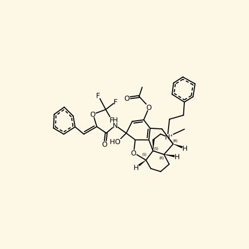 CC(=O)OC1=CC(O)(NC(=O)C(=Cc2ccccc2)OC(F)(F)F)C2O[C@H]3CCC[C@H]4[C@H]5CC1=C2[C@@]34CC[N+]5(C)CCc1ccccc1